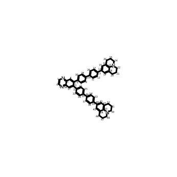 c1cnc2cc(-c3ccc(-c4ccc(-c5cc6c7c(c5)CCCN7CCC6)cc4)cc3)c(-c3ccc(-c4ccc(-c5cc6c7c(c5)CCCN7CCC6)cc4)cc3)cc2n1